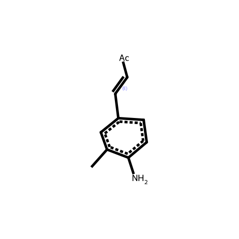 CC(=O)/C=C/c1ccc(N)c(C)c1